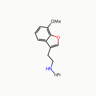 CCCNCCc1coc2c(OC)cccc12